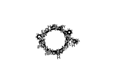 CCCCN1CC(=O)N(C)[C@@H](CC(C)C)C(=O)N[C@H](C(=O)N2CCCCC2)CC(=O)N(C)[C@@H](CC)C(=O)N[C@@H](CC(C)C)C(=O)N(C)[C@@H](CC(C)C)C(=O)N(C)[C@@H](Cc2ccccc2)C(=O)N[C@@H](COC[C@@H]2CC(F)(F)CN2)C(=O)N(C)[C@@H](CC)C(=O)N(C)[C@@H](CC(C)C)C(=O)N[C@@H]([C@@H](C)O)C1=O